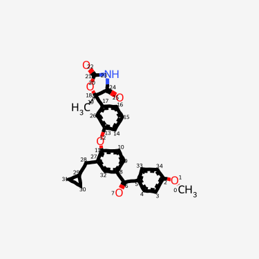 COc1ccc(C(=O)c2ccc(Oc3cccc([C@@]4(C)OC(=O)NC4=O)c3)c(CC3CC3)c2)cc1